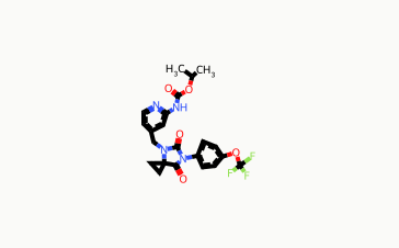 CC(C)OC(=O)Nc1cc(CN2C(=O)N(c3ccc(OC(F)(F)F)cc3)C(=O)C23CC3)ccn1